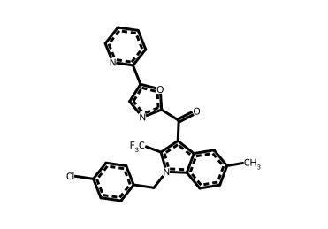 Cc1ccc2c(c1)c(C(=O)c1ncc(-c3ccccn3)o1)c(C(F)(F)F)n2Cc1ccc(Cl)cc1